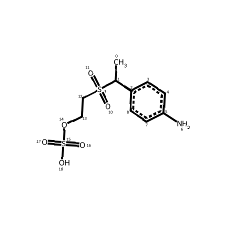 CC(c1ccc(N)cc1)S(=O)(=O)CCOS(=O)(=O)O